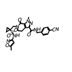 Cc1cc(NS(=O)(=O)C2(CN3CCc4c(C(=O)NCc5ccc(C#N)cc5)nn(C)c4C3=O)CC2)no1